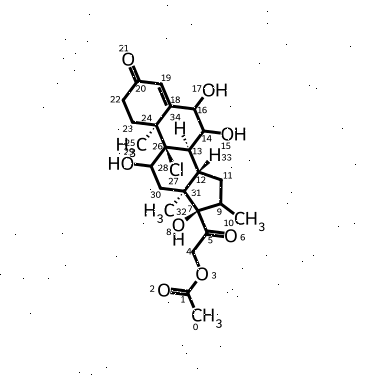 CC(=O)OCC(=O)[C@@]1(O)C(C)C[C@H]2[C@@H]3C(O)C(O)C4=CC(=O)CC[C@]4(C)[C@@]3(Cl)C(O)C[C@@]21C